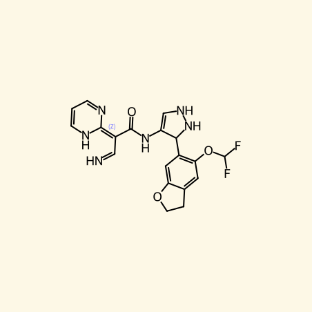 N=C/C(C(=O)NC1=CNNC1c1cc2c(cc1OC(F)F)CCO2)=C1/N=CC=CN1